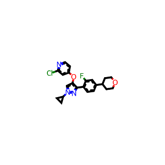 Fc1cc(C2CCOCC2)ccc1-c1nn(C2CC2)cc1Oc1ccnc(Cl)c1